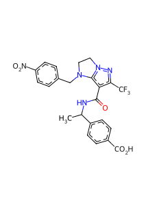 CC(NC(=O)c1c(C(F)(F)F)nn2c1N(Cc1ccc([N+](=O)[O-])cc1)CC2)c1ccc(C(=O)O)cc1